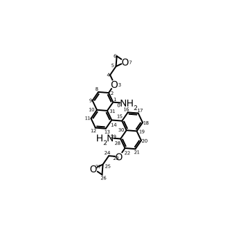 Nc1c(OCC2CO2)ccc2cccc(-c3cccc4ccc(OCC5CO5)c(N)c34)c12